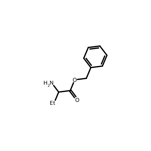 CCC(N)C(=O)OCc1ccccc1